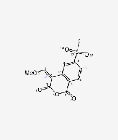 CO/C=C1\C(=O)OC(=O)c2ccc(S(C)(=O)=O)cc21